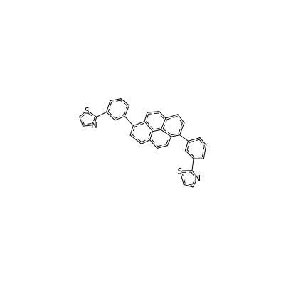 c1cc(-c2nccs2)cc(-c2ccc3ccc4c(-c5cccc(-c6nccs6)c5)ccc5ccc2c3c54)c1